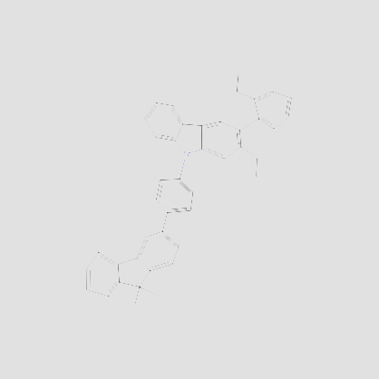 CCc1ccccc1-c1cc2c3ccccc3n(-c3ccc(-c4ccc5c(c4)-c4ccccc4C5(C)C)cc3)c2cc1CC